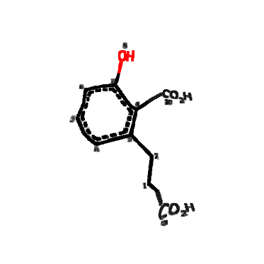 O=C(O)CCc1cccc(O)c1C(=O)O